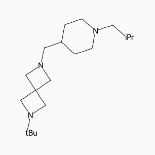 CC(C)CN1CCC(CN2CC3(C2)CN(C(C)(C)C)C3)CC1